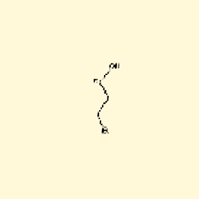 CCCC[13CH2]O